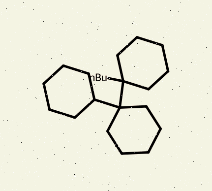 CCCCC1(C2(C3CCCCC3)CCCCC2)CCCCC1